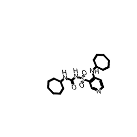 O=C(NC1CCCCCC1)NS(=O)(=O)c1cnccc1NC1CCCCCC1